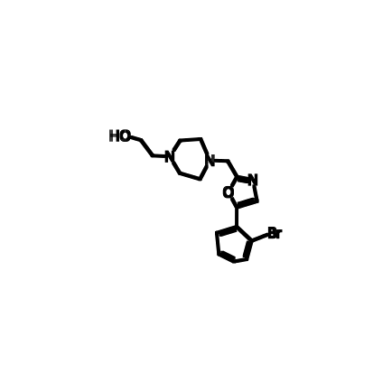 OCCN1CCN(Cc2ncc(-c3ccccc3Br)o2)CC1